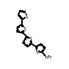 CCCc1ccc(-c2ccc(-c3ccc(C4=CC=IS4)s3)s2)s1